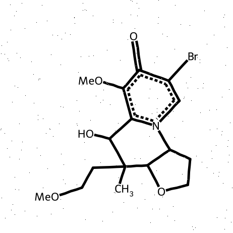 COCCC1(C)C(O)c2c(OC)c(=O)c(Br)cn2C2CCOC21